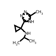 Cc1nnc(C2(NC(C)C)CC2)[nH]1